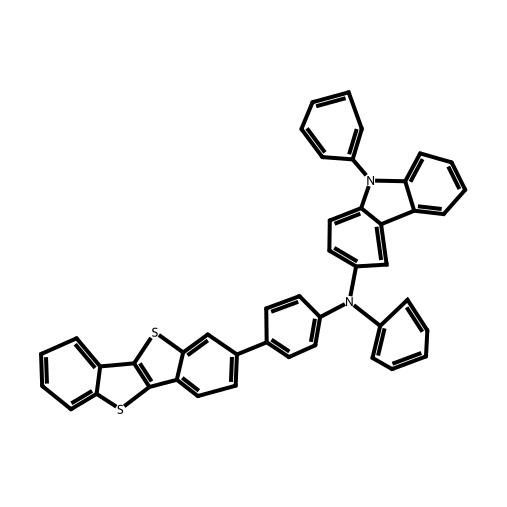 c1ccc(N(c2ccc(-c3ccc4c(c3)sc3c5ccccc5sc43)cc2)c2ccc3c(c2)c2ccccc2n3-c2ccccc2)cc1